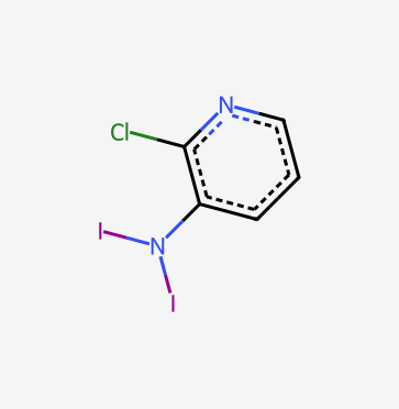 Clc1ncccc1N(I)I